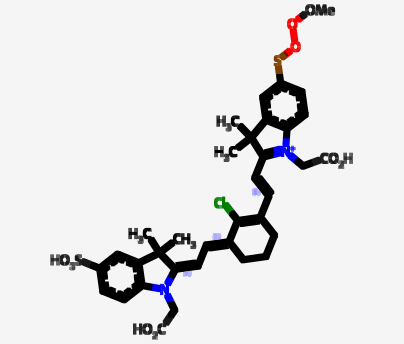 COOOSc1ccc2c(c1)C(C)(C)C(/C=C/C1=C(Cl)C(=C/C=C3/N(CC(=O)O)c4ccc(S(=O)(=O)O)cc4C3(C)C)/CCC1)=[N+]2CC(=O)O